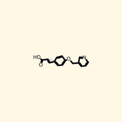 O=C(O)/C=C/c1ccc(OCc2cccnc2)cc1